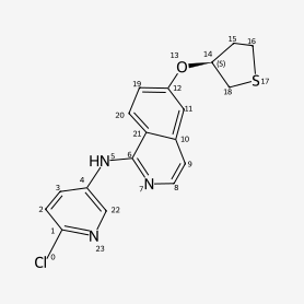 Clc1ccc(Nc2nccc3cc(O[C@H]4CCSC4)ccc23)cn1